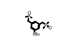 CC(C)(C)c1cc(CP(C)(C)=O)cc(CP(C)(C)=O)c1